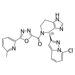 Cc1cccc(-c2nnc(C(=O)N3CCc4[nH]cnc4[C@H]3c3cc4cccc(Cl)n4n3)o2)n1